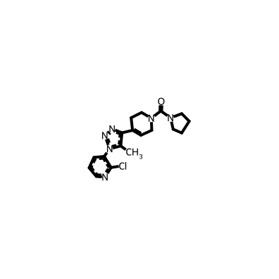 Cc1c(C2=CCN(C(=O)N3CCCC3)CC2)nnn1-c1cccnc1Cl